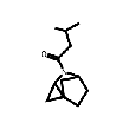 CC(C)CC(=O)N1C2CCC3(C2)CC13